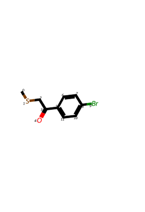 CSCC(=O)c1ccc(Br)cc1